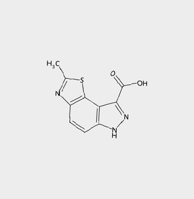 Cc1nc2ccc3[nH]nc(C(=O)O)c3c2s1